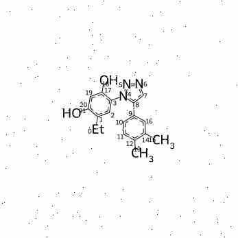 CCc1cc(-n2nncc2-c2ccc(C)c(C)c2)c(O)cc1O